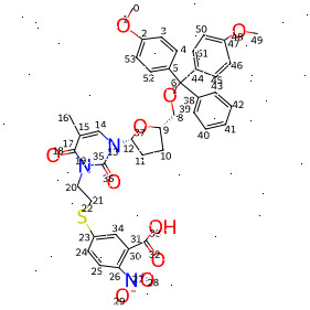 COc1ccc(C(OC[C@@H]2CC[C@H](n3cc(C)c(=O)n(CCSc4ccc([N+](=O)[O-])c(C(=O)O)c4)c3=O)O2)(c2ccccc2)c2ccc(OC)cc2)cc1